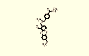 CCc1ccc(Oc2nccc(CN(C)Cc3ccc(C(=O)NC)cc3)c2C=O)c(F)c1